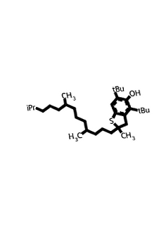 CC(C)CCCC(C)CCCC(C)CCCC1(C)Cc2c(cc(C(C)(C)C)c(O)c2C(C)(C)C)S1